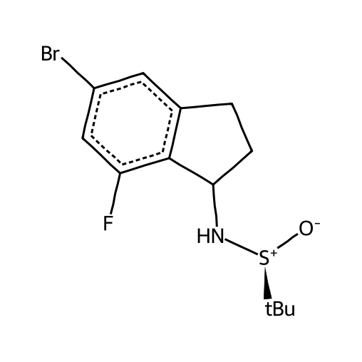 CC(C)(C)[S@+]([O-])NC1CCc2cc(Br)cc(F)c21